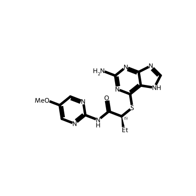 CC[C@H](Sc1nc(N)nc2nc[nH]c12)C(=O)Nc1ncc(OC)cn1